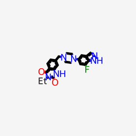 CCn1c(=O)[nH]c2cc(CN3CCN(c4cc(F)c5[nH]ncc5c4)CC3)ccc2c1=O